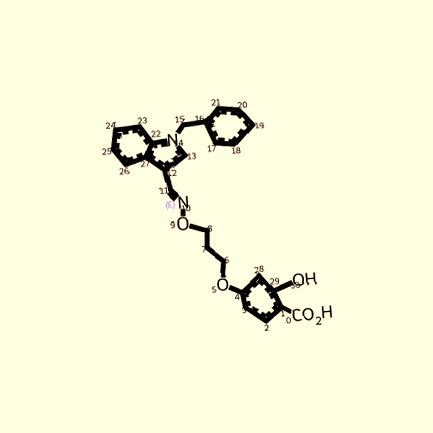 O=C(O)c1ccc(OCCCO/N=C/c2cn(Cc3ccccc3)c3ccccc23)cc1O